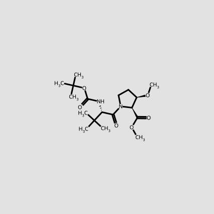 COC(=O)[C@@H]1[C@H](OC)CCN1C(=O)[C@@H](NC(=O)OC(C)(C)C)C(C)(C)C